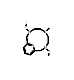 CN1CCN(SI)Cc2cccc(n2)CN(SI)CC1